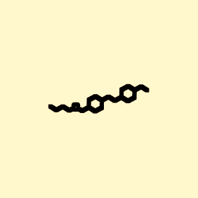 CCCCOCC1CCC(CCC2CCC(CC)CC2)CC1